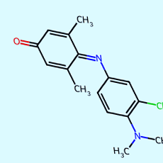 CC1=CC(=O)C=C(C)C1=Nc1ccc(N(C)C)c(Cl)c1